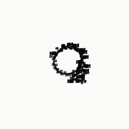 CC(CN)NC(=O)C1[C@@H]2CC(O[C@@H]3OC[C@@H](O)[C@H](N)[C@@H]3O)/C=C/C=C/C=C/C=C/C=C/C=C/C=C/[C@H](C)[C@@H](O)C[C@H](C)OC(=O)CC(O)CC(O)CCC(O)C(O)CC(O)CC(O)(C[C@@H]1O)O2